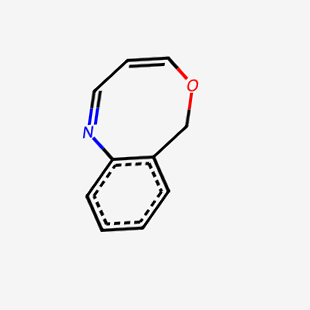 C1=COCc2ccccc2N=C1